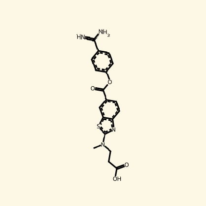 CN(CCC(=O)O)c1nc2ccc(C(=O)Oc3ccc(C(=N)N)cc3)cc2s1